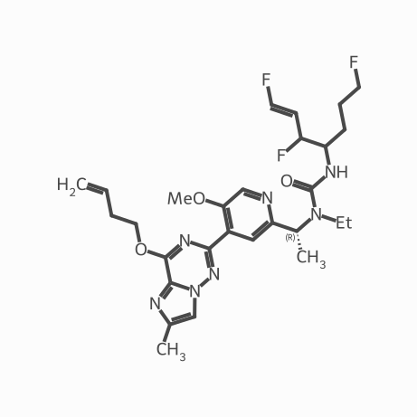 C=CCCOc1nc(-c2cc([C@@H](C)N(CC)C(=O)NC(CCCF)C(F)C=CF)ncc2OC)nn2cc(C)nc12